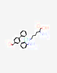 NCCCC[C@H](N)C(=O)O.Nc1ccccc1Cl.O=Cc1ccc(-c2ccccc2)cc1